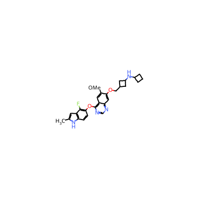 COc1cc2c(Oc3ccc4[nH]c(C)cc4c3F)ncnc2cc1OCC1CC(NC2CCC2)C1